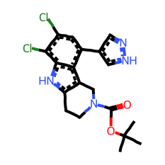 CC(C)(C)OC(=O)N1CCc2[nH]c3c(Cl)c(Cl)cc(-c4cn[nH]c4)c3c2C1